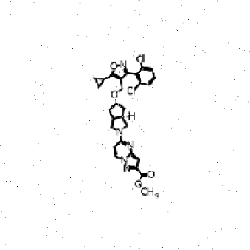 COC(=O)c1cc2nc(N3CC4C[C@H](OCc5c(-c6c(Cl)cccc6Cl)noc5C5CC5)C[C@H]4C3)ccn2n1